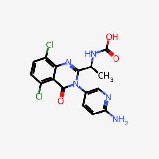 CC(NC(=O)O)c1nc2c(Cl)ccc(Cl)c2c(=O)n1-c1ccc(N)nc1